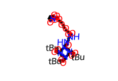 CC(C)(C)OC(=O)CN1CCN(CC(=O)NCCNC(=O)OCCOCCOCCOC(=O)ON2C(=O)CCC2=O)CCN(CC(=O)OC(C)(C)C)CCN(CC(=O)OC(C)(C)C)CC1